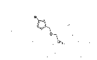 CCOCc1cc(Br)cs1